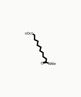 [CH2]NC(=O)CCCCCCCCCCCCCCCCC